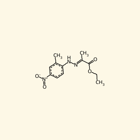 CCOC(=O)/C(C)=N/Nc1ccc([N+](=O)[O-])cc1C